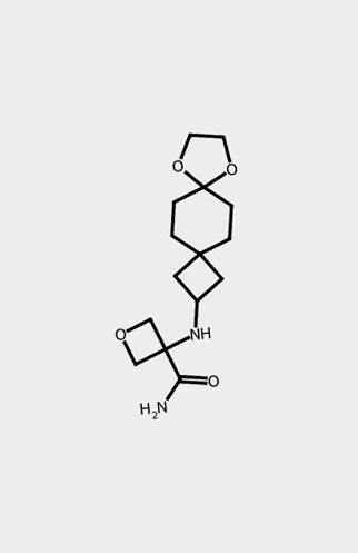 NC(=O)C1(NC2CC3(CCC4(CC3)OCCO4)C2)COC1